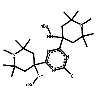 CCCCNC1(c2nc(Cl)nc(C3(NCCCC)CC(C)(C)N(C)C(C)(C)C3)n2)CC(C)(C)N(C)C(C)(C)C1